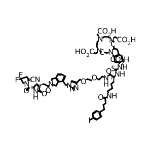 N#C[C@@H]1CC(F)(F)CN1C(=O)[C@@H]1C[C@@H](CC(=O)N2Cc3cccc(Cn4cc(COCCOCCNC(=O)[C@H](CCCCNC(=O)CCCc5ccc(I)cc5)NC(=S)Nc5ccc(CC6CN(CC(=O)O)CCN(CC(=O)O)CCN(CC(=O)O)CCN6CC(=O)O)cc5)nn4)c3C2)C(=O)N1